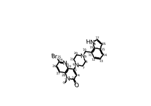 Cn1c(=O)cc(N2CCN(Cc3cccc4cc[nH]c34)CC2)c2nc(Br)ccc21